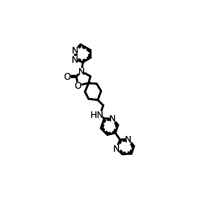 O=C1OC2(CCC(CNc3ccc(-c4ncccn4)cn3)CC2)CN1c1cccnn1